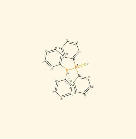 S=P(c1ccccc1)(c1ccccc1)P(c1ccccc1)c1ccccc1